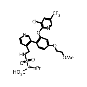 CCCN(C(=O)O)S(=O)(=O)NCc1ccncc1-c1ccc(OCCOC)cc1Oc1ncc(C(F)(F)F)cc1Cl